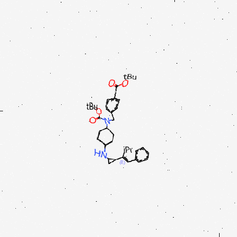 CC(C)/C(=C\c1ccccc1)C1CC1NC1CCC(N(Cc2ccc(C(=O)OC(C)(C)C)cc2)C(=O)OC(C)(C)C)CC1